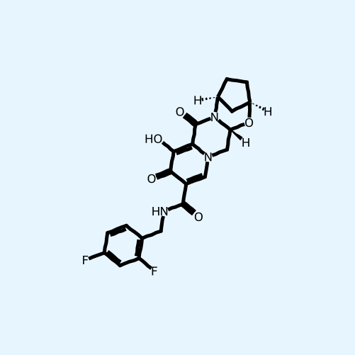 O=C(NCc1ccc(F)cc1F)c1cn2c(c(O)c1=O)C(=O)N1[C@H]3CC[C@H](C3)O[C@@H]1C2